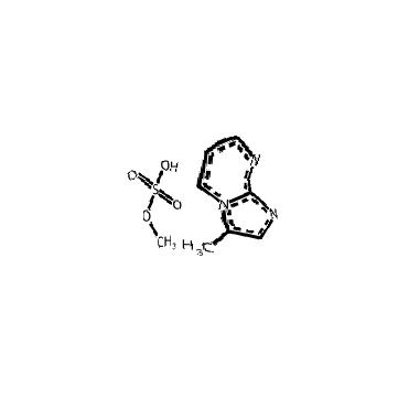 COS(=O)(=O)O.Cc1cnc2ncccn12